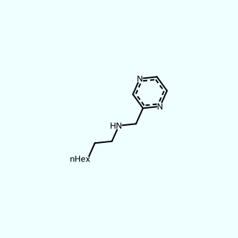 CCCCCCCCNCc1cnccn1